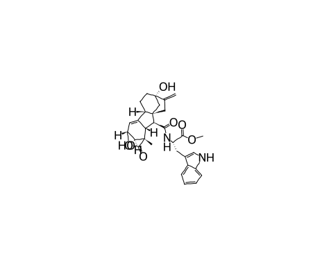 C=C1C[C@]23C[C@@]1(O)CC[C@H]2C1=C[C@H]2OC(=O)[C@@](C)([C@H]1[C@@H]3C(=O)N[C@@H](Cc1c[nH]c3ccccc13)C(=O)OC)[C@H]2O